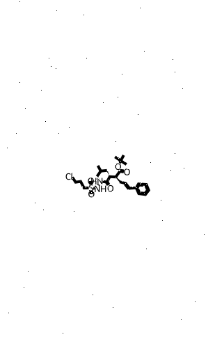 CC(C)C[C@@H](C(=O)NNS(=O)(=O)CCCCl)[C@H](CC=Cc1ccccc1)C(=O)OC(C)(C)C